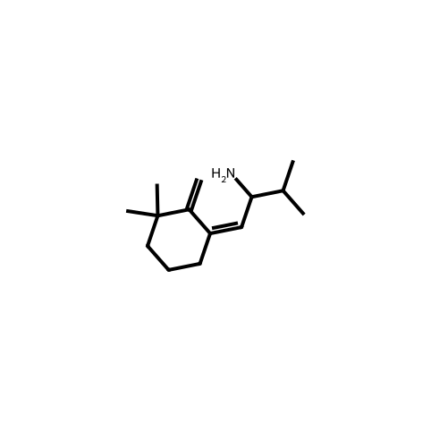 C=C1/C(=C\C(N)C(C)C)CCCC1(C)C